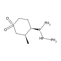 C[C@H]1CS(=O)(=O)CC[C@H]1P(P)PP